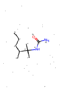 CCCC(C)C(C)(C)NC([NH])=O